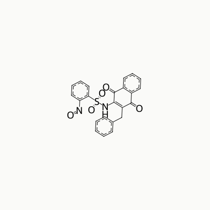 O=Nc1ccccc1S(=O)(=O)NC1=C(Cc2ccccc2)C(=O)c2ccccc2C1=O